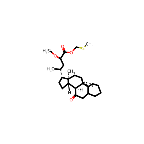 CSCOC(=O)C(CC(C)[C@H]1CC[C@H]2[C@@H]3C(=O)CC4CCCC[C@]4(C)[C@H]3CC[C@]12C)O[SiH3]